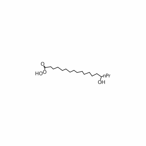 CCCC(O)CCCCCCCCCCCCCC(=O)OO